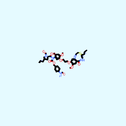 C/C=C/C1=CN(C=O)C(C(O)N(C(=O)OCc2ccc(NC=O)cc2)c2cc(OCCCOc3cc4c(cc3OC)C(=O)N/C=C(/C=C/C)SC/C=N\4)c(OC)cc2C)C1